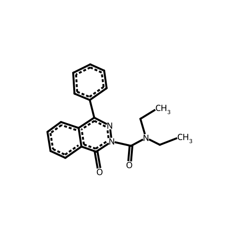 CCN(CC)C(=O)n1nc(-c2ccccc2)c2ccccc2c1=O